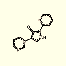 O=c1c(-c2cccnc2)c[nH]n1-c1ccccn1